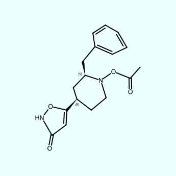 CC(=O)ON1CC[C@@H](c2cc(=O)[nH]o2)C[C@H]1Cc1ccccc1